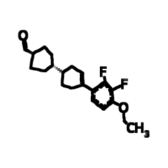 CCOc1ccc(C2=CCC([C@H]3CC[C@H](C=O)CC3)CC2)c(F)c1F